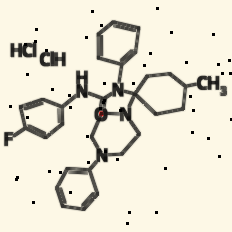 CC1CCC(N2CCN(c3ccccc3)CC2)(N(C(=O)Nc2ccc(F)cc2)c2ccccc2)CC1.Cl.Cl